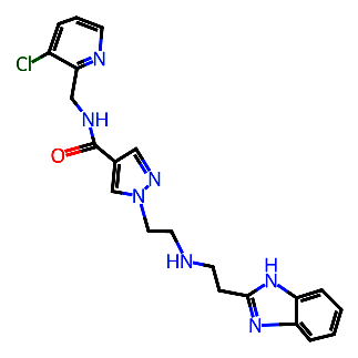 O=C(NCc1ncccc1Cl)c1cnn(CCNCCc2nc3ccccc3[nH]2)c1